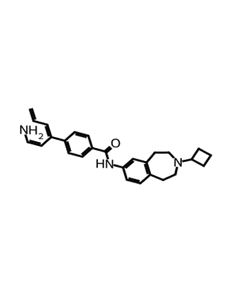 C=C/C=C(\C=C/N)c1ccc(C(=O)Nc2ccc3c(c2)CCN(C2CCC2)CC3)cc1